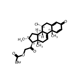 C[C@@H]1C[C@H]2[C@H]3C(=CC[C@]2(C)[C@H]1C(=O)COC(=O)C(C)(C)C)[C@@]1(C)C=CC(=O)C=C1C[C@H]3Cl